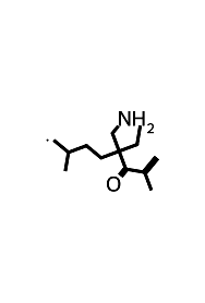 [CH2]C(C)CCC(CC)(CN)C(=O)C(=C)C